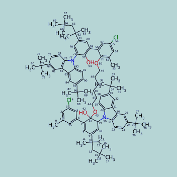 Cc1cc(Cl)cc(C2=CC(C(C)(C)CC(C)(C)C)=CC(n3c4ccc(C(C)(C)C)cc4c4cc(C(C)(C)C)ccc43)C2(O)OCCCCCCOc2c(C)cc(Cl)cc2-c2cc(C(C)(C)CC(C)(C)C)cc(-n3c4ccc(C(C)(C)C)cc4c4cc(C(C)(C)C)ccc43)c2O)c1